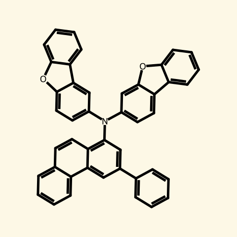 c1ccc(-c2cc(N(c3ccc4c(c3)oc3ccccc34)c3ccc4oc5ccccc5c4c3)c3ccc4ccccc4c3c2)cc1